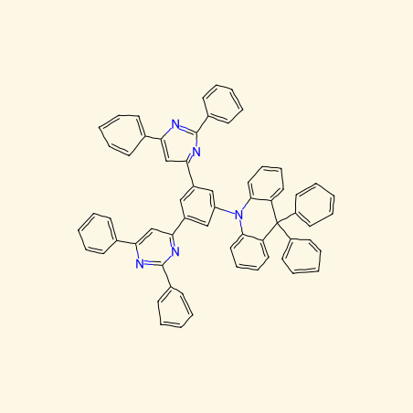 c1ccc(-c2cc(-c3cc(-c4cc(-c5ccccc5)nc(-c5ccccc5)n4)cc(N4c5ccccc5C(c5ccccc5)(c5ccccc5)c5ccccc54)c3)nc(-c3ccccc3)n2)cc1